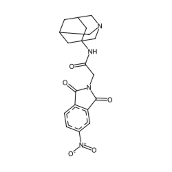 O=C(CN1C(=O)c2ccc([N+](=O)[O-])cc2C1=O)NC12CC3CC(CN(C3)C1)C2